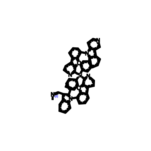 C=Cc1c(/C=N\C)c2ccccc2n1-c1cccc2c1oc1c([Si](c3ccccc3)(c3ccccc3)c3nccc4c3oc3c(-n5c6ccccc6c6cnccc65)cccc34)nccc12